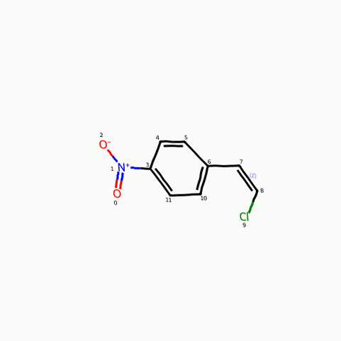 O=[N+]([O-])c1ccc(/C=C\Cl)cc1